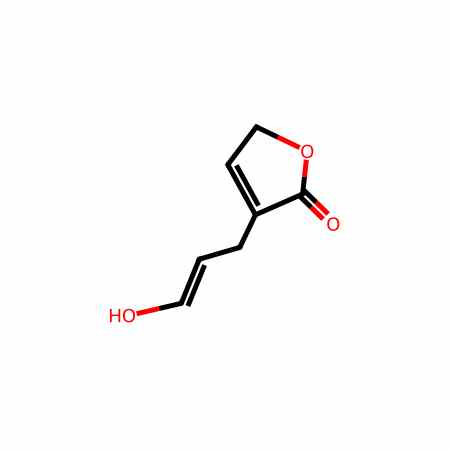 O=C1OCC=C1CC=CO